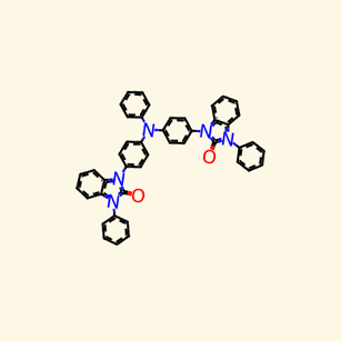 O=c1n(-c2ccccc2)c2ccccc2n1-c1ccc(N(c2ccccc2)c2ccc(-n3c(=O)n(-c4ccccc4)c4ccccc43)cc2)cc1